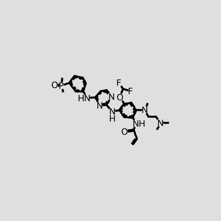 C=CC(=O)Nc1cc(Nc2nccc(Nc3cccc(P(C)(C)=O)c3)n2)c(OC(F)F)cc1N(C)CCN(C)C